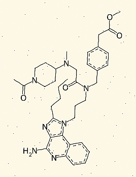 CCCCc1nc2c(N)nc3ccccc3c2n1CCCN(Cc1ccc(CC(=O)OC)cc1)C(=O)CN(C)C1CCN(C(C)=O)CC1